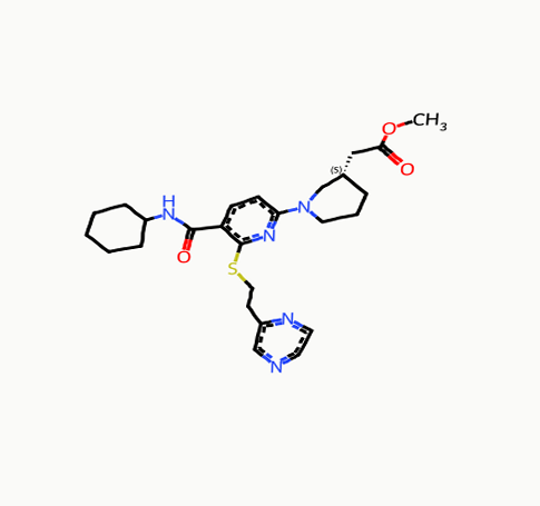 COC(=O)C[C@@H]1CCCN(c2ccc(C(=O)NC3CCCCC3)c(SCCc3cnccn3)n2)C1